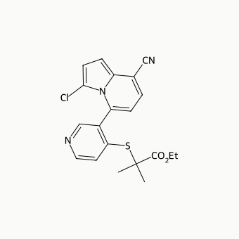 CCOC(=O)C(C)(C)Sc1ccncc1-c1ccc(C#N)c2ccc(Cl)n12